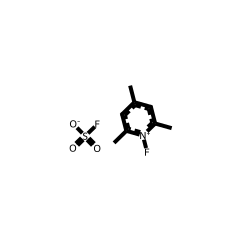 Cc1cc(C)[n+](F)c(C)c1.O=S(=O)([O-])F